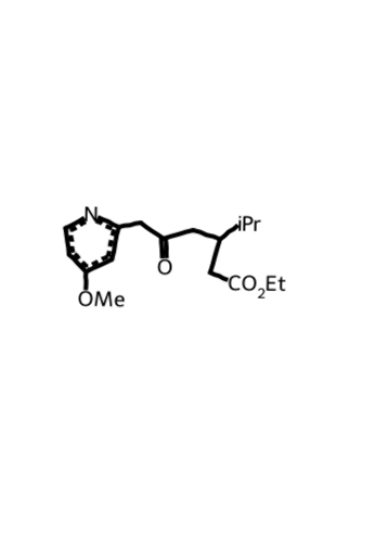 CCOC(=O)CC(CC(=O)Cc1cc(OC)ccn1)C(C)C